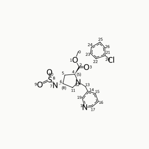 COC(=O)[C@@H]1C[C@@H](N=S(=O)=O)CN1Cc1cccnc1.Clc1ccccc1